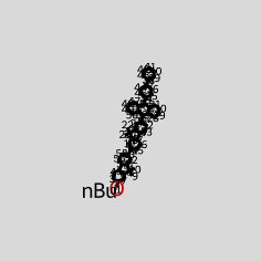 CCCCOc1ccc2c(c1)C(C)(C)c1cc(-c3ccc4c(c3)C(C)(C)c3cc(-c5c6ccccc6c(-c6ccc(-c7ccccc7)cc6)c6ccccc56)ccc3-4)ccc1-2